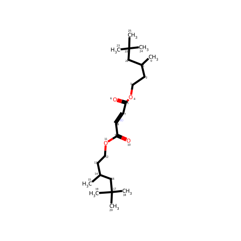 CC(CCOC(=O)/C=C/C(=O)OCCC(C)CC(C)(C)C)CC(C)(C)C